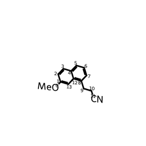 COc1ccc2cccc(CCC#N)c2c1